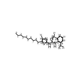 CCCCCCCCCCc1sc(NC(=O)Nc2c(C(C)C)cccc2C(C)C)nc1C